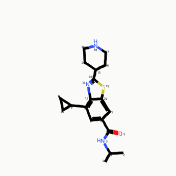 CC(C)NC(=O)c1cc(C2CC2)c2nc(C3CCNCC3)sc2c1